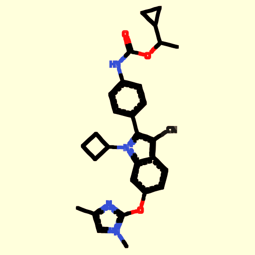 Cc1cn(C)c(Oc2ccc3c(C#N)c(-c4ccc(NC(=O)OC(C)C5CC5)cc4)n(C4CCC4)c3c2)n1